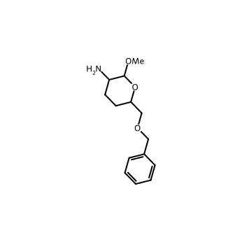 COC1OC(COCc2ccccc2)CCC1N